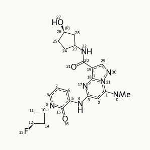 CNc1cc(Nc2cccn([C@H]3C[C@H](F)C3)c2=O)nc2c(C(=O)NC3CC[C@@H](O)C3)cnn12